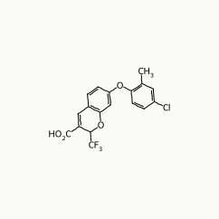 Cc1cc(Cl)ccc1Oc1ccc2c(c1)OC(C(F)(F)F)C(C(=O)O)=C2